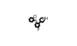 Fc1ccc(Sc2ccccc2Cl)c(C2=CCNCC2)c1